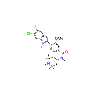 COc1cc(C(=O)N(C)C2CC(C)(C)N(C)C(C)(C)C2)ccc1-c1cc2cc(Cl)c(Cl)cc2n1C